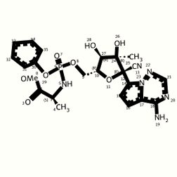 COC(=O)[C@H](C)NP(=O)(OC[C@H]1O[C@@](C#N)(c2ccc3c(N)ncnn23)[C@](C)(O)[C@@H]1O)Oc1ccccc1